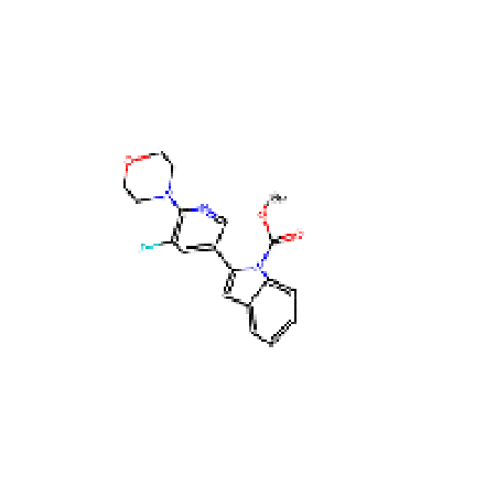 CC(C)(C)OC(=O)n1c(-c2cnc(N3CCOCC3)c(F)c2)cc2ccccc21